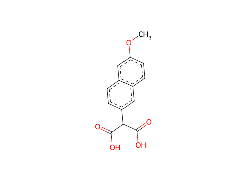 COc1ccc2cc(C(C(=O)O)C(=O)O)ccc2c1